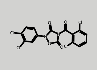 O=C(c1c(Cl)cccc1Cl)n1c(=O)on(-c2ccc(Cl)c(Cl)c2)c1=O